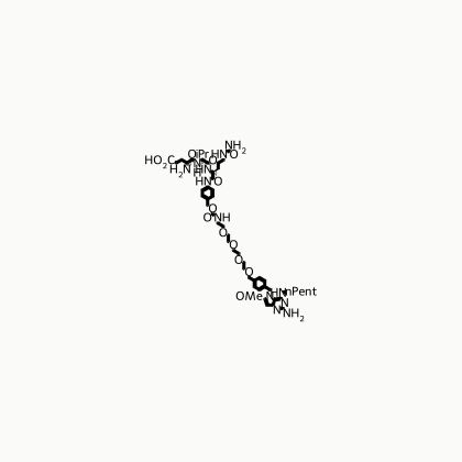 CCCCCNc1nc(N)nc2ccn(Cc3ccc(COCCOCCOCCOCCNC(=O)OCc4ccc(NC(=O)[C@H](CCCNC(N)=O)NC(=O)[C@@H](NC(=O)[C@@H](N)CCC(=O)O)C(C)C)cc4)cc3OC)c12